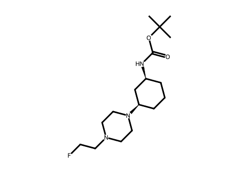 CC(C)(C)OC(=O)N[C@H]1CCC[C@@H](N2CCN(CCF)CC2)C1